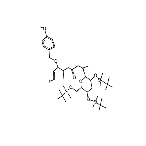 COc1ccc(COC(/C=C/I)C(C)CC(=O)CC(C)[C@@H]2O[C@H](CO[Si](C)(C)C(C)(C)C)[C@H](O[Si](C)(C)C(C)(C)C)C[C@@H]2O[Si](C)(C)C(C)(C)C)cc1